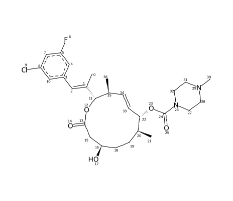 C/C(=C\c1cc(F)cc(Cl)c1)[C@H]1OC(=O)C[C@H](O)CC[C@H](C)[C@@H](OC(=O)N2CCN(C)CC2)/C=C/[C@@H]1C